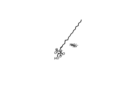 CCCCCCCCCCCCCCCC=COP(=O)([O-])C(CO)P(=O)([O-])[O-].[Na+].[Na+].[Na+]